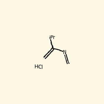 C=NC(=C)C(C)C.Cl